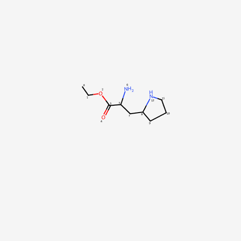 CCOC(=O)C(N)CC1CCCN1